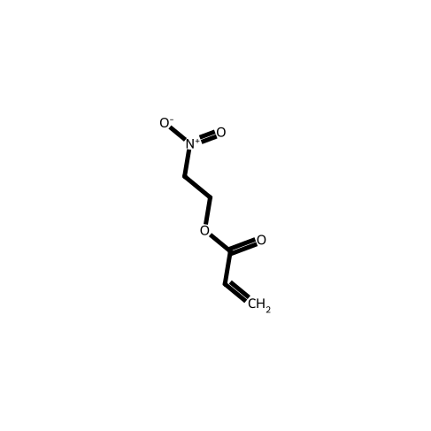 C=CC(=O)OCC[N+](=O)[O-]